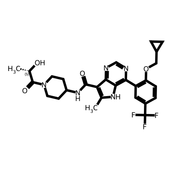 Cc1[nH]c2c(-c3cc(C(F)(F)F)ccc3OCC3CC3)ncnc2c1C(=O)NC1CCN(C(=O)[C@H](C)O)CC1